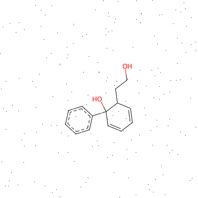 OCCC1C=CC=CC1(O)c1ccccc1